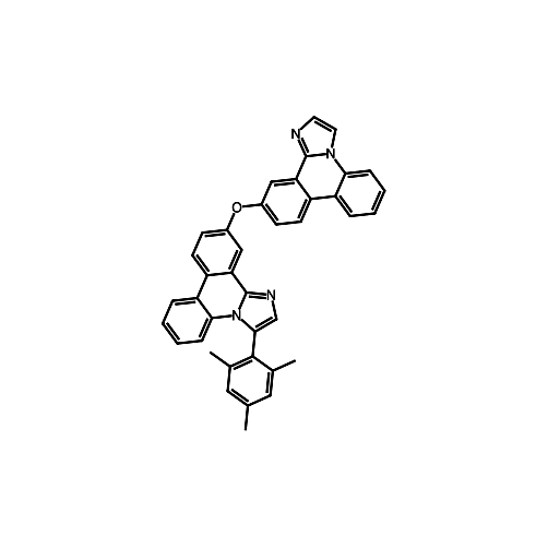 Cc1cc(C)c(-c2cnc3c4cc(Oc5ccc6c7ccccc7n7ccnc7c6c5)ccc4c4ccccc4n23)c(C)c1